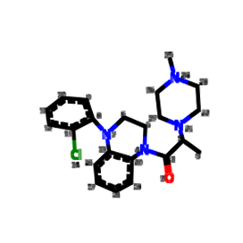 CC(C(=O)N1CCN(c2ccccc2Cl)c2ccccc21)N1CCN(C)CC1